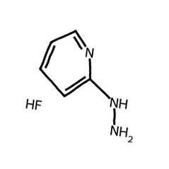 F.NNc1ccccn1